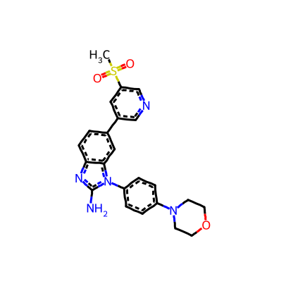 CS(=O)(=O)c1cncc(-c2ccc3nc(N)n(-c4ccc(N5CCOCC5)cc4)c3c2)c1